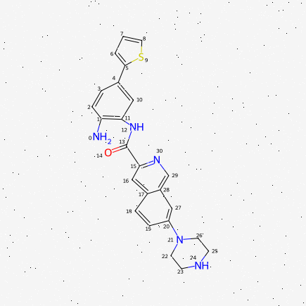 Nc1ccc(-c2cccs2)cc1NC(=O)c1cc2ccc(N3CCNCC3)cc2cn1